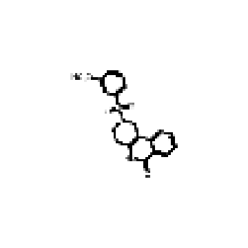 O=C(O)c1cccc(S(=O)(=O)N2CCc3[nH]c(=O)c4ccccc4c3C2)c1